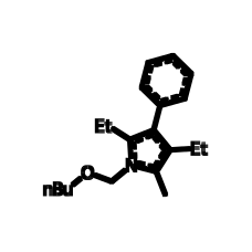 CCCCOCn1c(C)c(CC)c(-c2ccccc2)c1CC